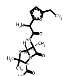 CCc1ccc(C(N)C(=O)N[C@@]2(C)C(=O)N3[C@@H](C(=O)O)C(C)(C)S[C@@H]32)s1